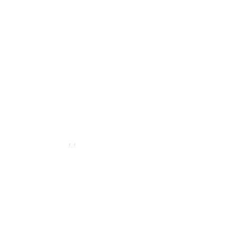 O=C1c2ccccc2Cc2ccccc21.c1ccc(-c2ccccc2)cc1